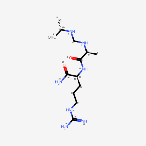 CC(C)[C@@H](C=O)NCN[C@@H](C)C(=O)N[C@@H](CCCNC(=N)N)C(N)=O